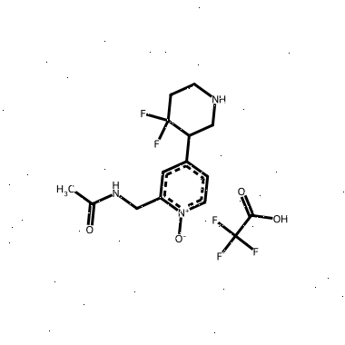 CC(=O)NCc1cc(C2CNCCC2(F)F)cc[n+]1[O-].O=C(O)C(F)(F)F